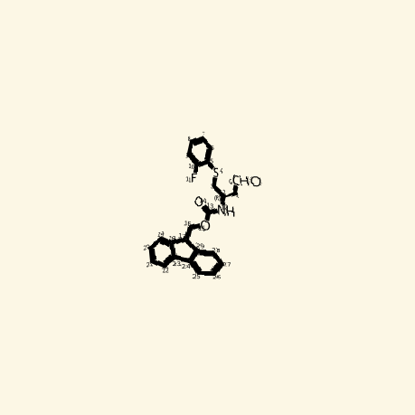 O=CC[C@H](CSc1ccccc1F)NC(=O)OCC1c2ccccc2-c2ccccc21